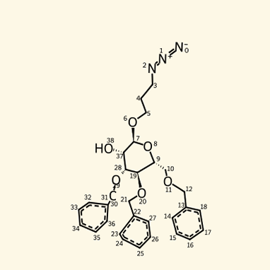 [N-]=[N+]=NCCCO[C@H]1O[C@H](COCc2ccccc2)[C@@H](OCc2ccccc2)[C@H](OCc2ccccc2)[C@@H]1O